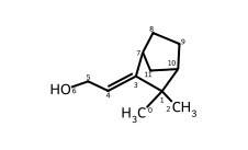 CC1(C)C(=CCO)C2CCC1C2